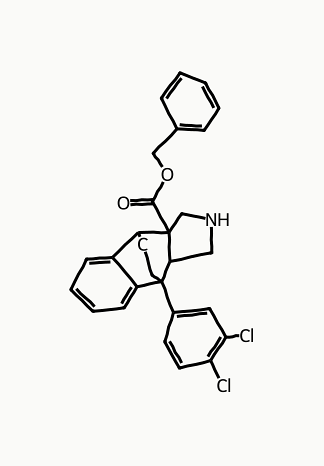 O=C(OCc1ccccc1)C12CNCC1C1(c3ccc(Cl)c(Cl)c3)CCC2c2ccccc21